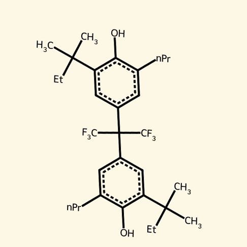 CCCc1cc(C(c2cc(CCC)c(O)c(C(C)(C)CC)c2)(C(F)(F)F)C(F)(F)F)cc(C(C)(C)CC)c1O